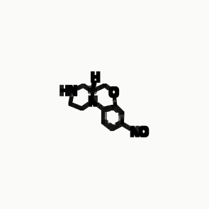 O=Nc1ccc2c(c1)OC[C@H]1CNCCN21